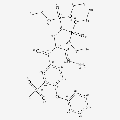 CCOP(=O)(OCC)C(CN(C=NN)C(=O)c1ccc(Oc2ccccc2)c(S(C)(=O)=O)c1)P(=O)(OCC)OCC